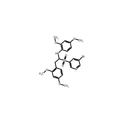 COc1ccc(CC(Nc2ccc(OC)cc2OC)S(=O)(=O)c2cncc(Br)c2)c(OC)c1